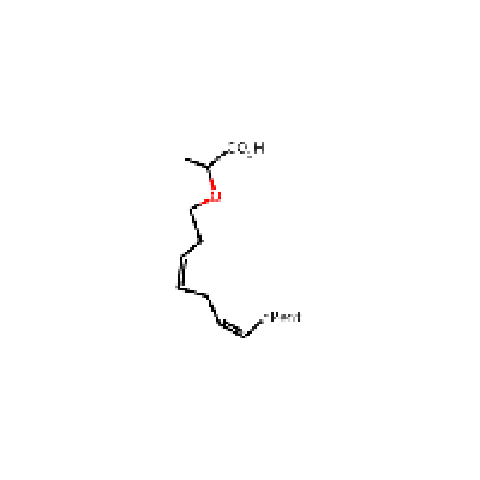 CCCCC/C=C\C/C=C\CCOC(C)C(=O)O